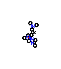 Cn1c2ccccc2c2cccc(N(c3cc4c(c5ccccc35)-c3ccc(N(c5ccccc5)c5ccccc5)cc3C4(C)C)c3cccc4c5ccccc5n(C)c34)c21